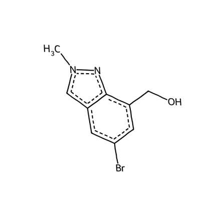 Cn1cc2cc(Br)cc(CO)c2n1